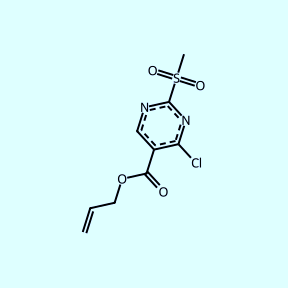 C=CCOC(=O)c1cnc(S(C)(=O)=O)nc1Cl